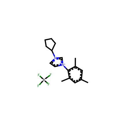 Cc1cc(C)c(-[n+]2ccn(C3CCCC3)c2)c(C)c1.F[B-](F)(F)F